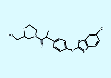 CC(C(=O)N1CCOC(CO)C1)c1ccc(Oc2nc3ccc(Cl)cc3s2)cc1